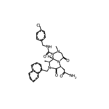 C[C@H]1[C@H]2N(C(=O)CN(C)N2C(=O)NCc2ccc(Cl)cc2)[C@@H](CC(N)=O)C(=O)N1Cc1cccc2ccccc12